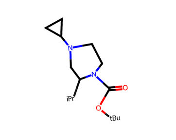 CC(C)C1CN(C2CC2)CCN1C(=O)OC(C)(C)C